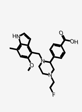 COc1cc(C)c2[nH]ccc2c1CN1CCN(CCF)CC1c1ccc(C(=O)O)cc1